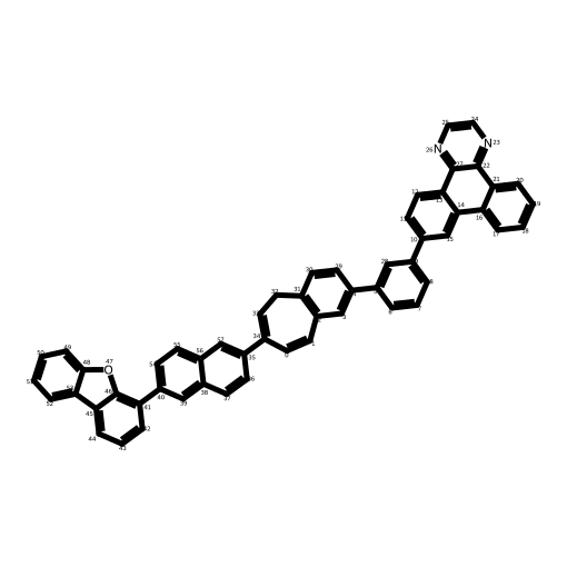 C1=Cc2cc(-c3cccc(-c4ccc5c(c4)c4ccccc4c4nccnc54)c3)ccc2CC=C1c1ccc2cc(-c3cccc4c3oc3ccccc34)ccc2c1